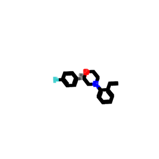 C=Cc1ccccc1N1CCO[C@@H](c2ccc(F)cc2)C1